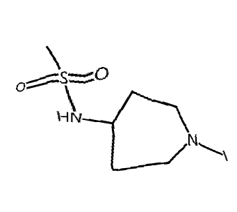 CS(=O)(=O)NC1CCN(I)CC1